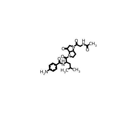 CC(=O)NCC(=O)N1CC(=O)C2C1CCN2C(=O)C(CC(C)C)NC(=O)c1ccc(N)cc1